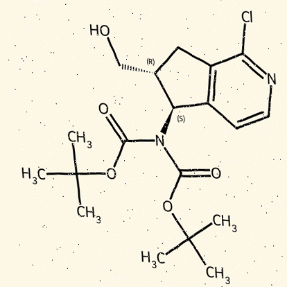 CC(C)(C)OC(=O)N(C(=O)OC(C)(C)C)[C@@H]1c2ccnc(Cl)c2C[C@H]1CO